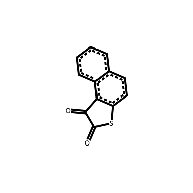 O=C1Sc2ccc3ccccc3c2C1=O